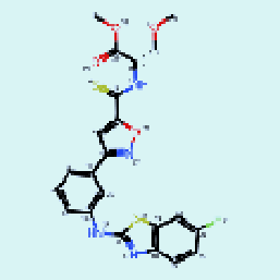 COC[C@H](NC(=S)c1cc(-c2cccc(Nc3nc4ccc(F)cc4s3)c2)no1)C(=O)OC